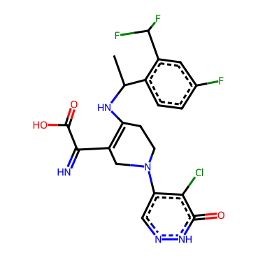 CC(NC1=C(C(=N)C(=O)O)CN(c2cn[nH]c(=O)c2Cl)CC1)c1ccc(F)cc1C(F)F